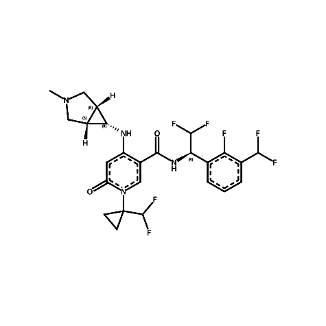 CN1C[C@@H]2[C@H](C1)[C@@H]2Nc1cc(=O)n(C2(C(F)F)CC2)cc1C(=O)N[C@H](c1cccc(C(F)F)c1F)C(F)F